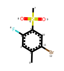 Cc1cc(F)c(S(C)(=O)=O)cc1Br